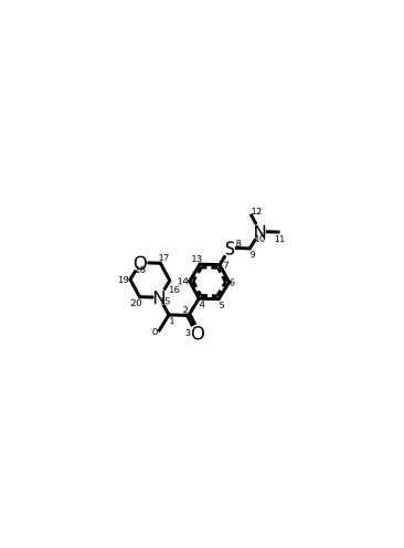 CC(C(=O)c1ccc(SCN(C)C)cc1)N1CCOCC1